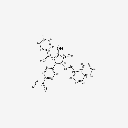 COC(=O)c1ccc(C2C(C(=O)c3ccncc3)=C(O)C(=O)N2CCc2cccc3ccccc23)cc1